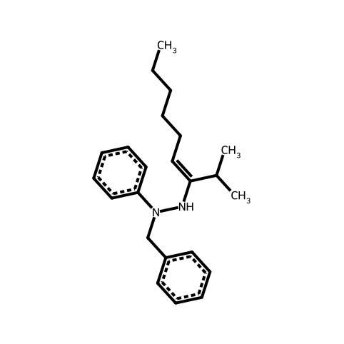 CCCCCC=C(NN(Cc1ccccc1)c1ccccc1)C(C)C